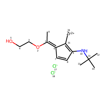 CC(OCCO)=C1C=CC(NC(C)(C)C)=[C]1[Zr+2].[Cl-].[Cl-]